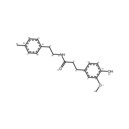 COc1cc(CCC(=O)NCCc2ccc(C)cc2)ccc1O